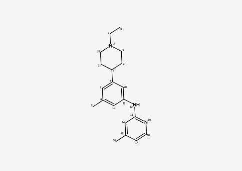 CCN1CCC(c2cc(C)cc(Nc3cc(C)ccn3)c2)CC1